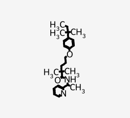 CCC(C)(C)c1ccc(OCCCC(C)(C)C(=O)NC(C)c2ccccn2)cc1